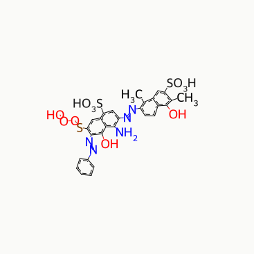 Cc1c(S(=O)(=O)O)cc2c(C)c(N=Nc3cc(S(=O)(=O)O)c4cc(SOOO)c(N=Nc5ccccc5)c(O)c4c3N)ccc2c1O